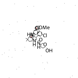 COC(=O)c1cc(Cl)cc([C@H]2[C@H](C(=O)N[C@@H]3CC[C@@H](CO)OC3)NC3(CCC(C)(C)CC3)C23C(=O)Nc2cc(Cl)ccc23)c1